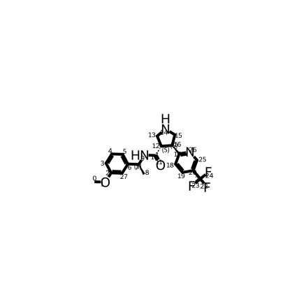 COc1cccc([C@H](C)NC(=O)[C@@H]2CNC[C@H]2c2ccc(C(F)(F)F)cn2)c1